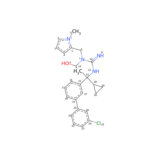 Cn1cccc1CN(CO)C(=N)NC(C)(c1cccc(-c2cccc(Cl)c2)c1)C1CC1